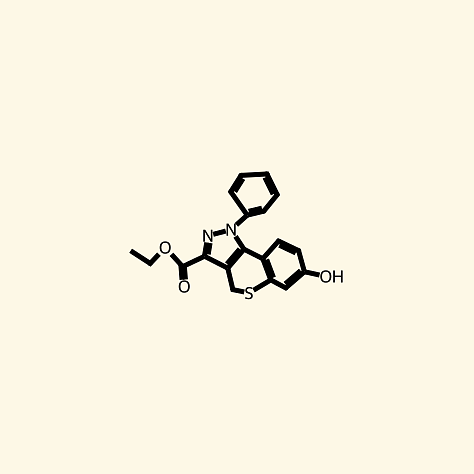 CCOC(=O)c1nn(-c2ccccc2)c2c1CSc1cc(O)ccc1-2